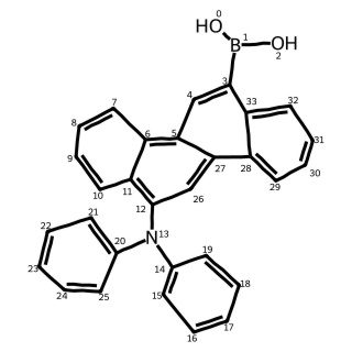 OB(O)c1cc2c3ccccc3c(N(c3ccccc3)c3ccccc3)cc2c2ccccc12